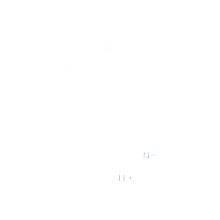 CNc1ccc(C2SCCS2)cc1